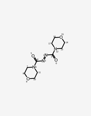 O=C(N=NC(=O)N1CCOCC1)N1CCOCC1